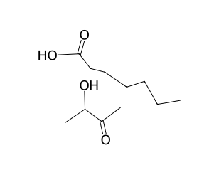 CC(=O)C(C)O.CCCCCCC(=O)O